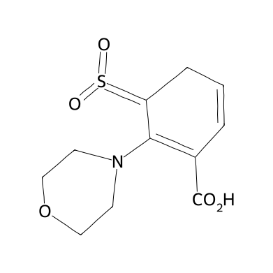 O=C(O)C1=C(N2CCOCC2)C(=S(=O)=O)CC=C1